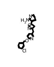 Nc1ncccc1C1CC(Cc2ccc(OCc3cccc(Cl)c3)nc2)=NO1